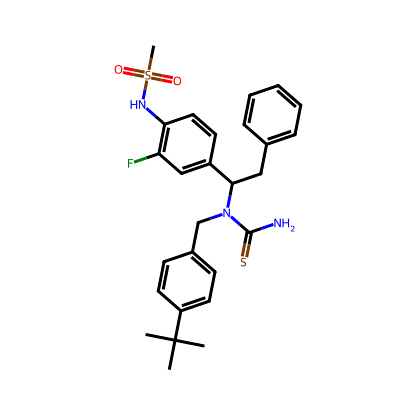 CC(C)(C)c1ccc(CN(C(N)=S)C(Cc2ccccc2)c2ccc(NS(C)(=O)=O)c(F)c2)cc1